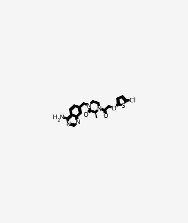 C[C@H]1C(=O)N(Cc2ccc3c(N)ncnc3c2)CCN1C(=O)COc1ccc(Cl)s1